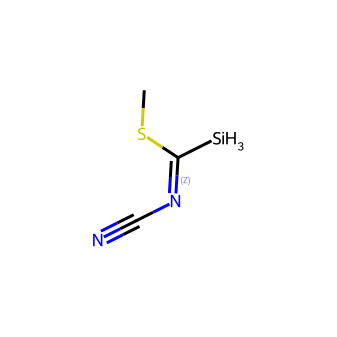 CS/C([SiH3])=N\C#N